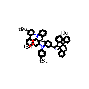 CC(C)(C)c1ccc(N2c3cc(/C=C4\c5ccc(C(C)(C)C)cc5C5(c6ccccc6)CCc6ccccc6C45C)ccc3B3c4ccccc4N(c4ccc(C(C)(C)C)cc4-c4ccccc4)c4cc(C(C)(C)C)cc2c43)cc1